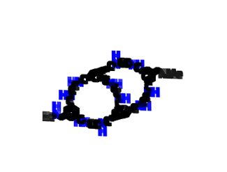 CCNCc1cc2cc(c1)CNCCNCc1cc3cc(c1)CNCCNCc1cc(cc(c1)CNCCNC2)CNCCNCc1cc(CNC)cc(c1)CNCCNC3